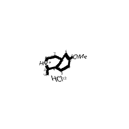 COc1ccc2c(c1)CCNC2C.Cl